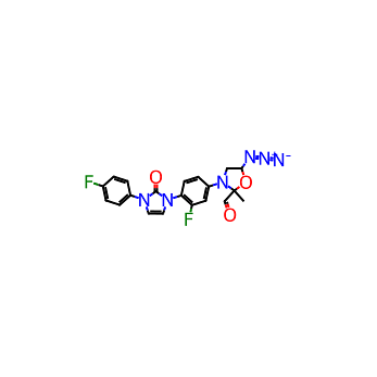 CC1(C=O)OC(N=[N+]=[N-])CN1c1ccc(-n2ccn(-c3ccc(F)cc3)c2=O)c(F)c1